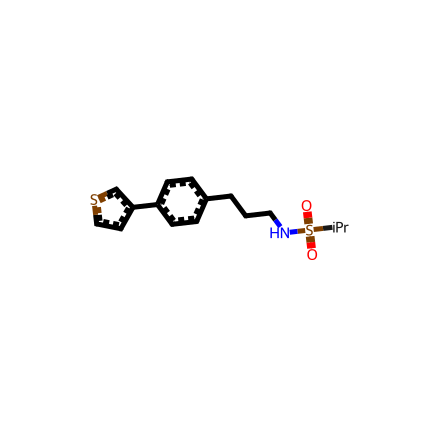 CC(C)S(=O)(=O)NCCCc1ccc(-c2ccsc2)cc1